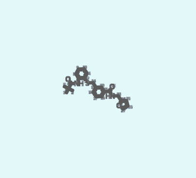 CC(C)(C)C(=O)Nc1ccccc1SCc1cccc(C(=O)NCc2ccco2)c1